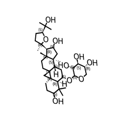 CC(C)(O)[C@@H]1CC[C@](C)([C@H]2[C@@H](O)C[C@@]3(C)[C@@H]4C[C@H](O[C@@H]5OC[C@@H](O)[C@H](O)[C@H]5O)[C@H]5C(C)(C)[C@@H](O)CC[C@@]56C[C@@]46CC[C@]23C)O1